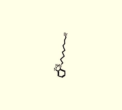 BrCCCCCCCCCn1nnc2ccccc21